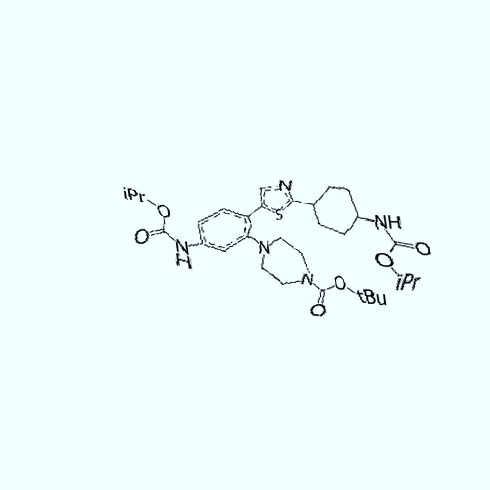 CC(C)OC(=O)Nc1ccc(-c2cnc(C3CCC(NC(=O)OC(C)C)CC3)s2)c(N2CCN(C(=O)OC(C)(C)C)CC2)c1